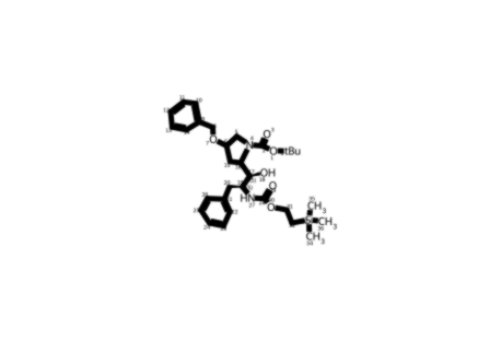 CC(C)(C)OC(=O)N1CC(OCc2ccccc2)CC1[C@@H](O)[C@H](Cc1ccccc1)NC(=O)OCC[Si](C)(C)C